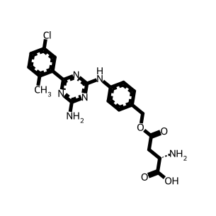 Cc1ccc(Cl)cc1-c1nc(N)nc(Nc2ccc(COC(=O)C[C@H](N)C(=O)O)cc2)n1